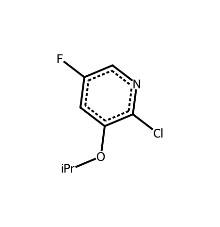 CC(C)Oc1cc(F)cnc1Cl